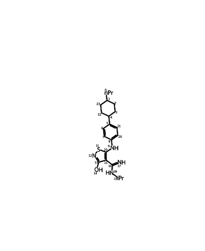 CCCC1CCC(c2ccc(Nc3snc(O)c3C(=N)NC(C)C)cc2)CC1